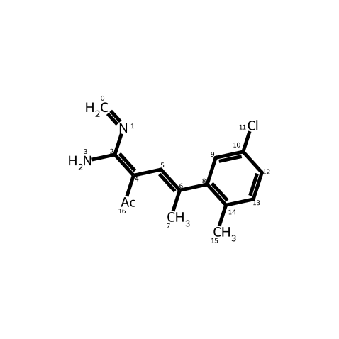 C=N/C(N)=C(\C=C(/C)c1cc(Cl)ccc1C)C(C)=O